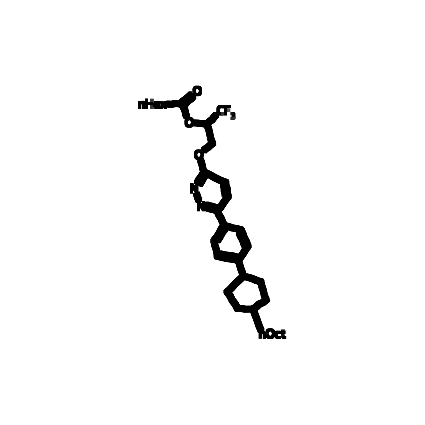 CCCCCCCCC1CCC(c2ccc(-c3ccc(OCC(OC(=O)CCCCCC)C(F)(F)F)nn3)cc2)CC1